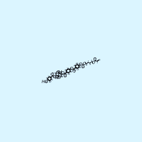 C=CC(=O)OCCCCOC(=O)Oc1ccc(C(=O)Oc2ccc(C(=O)OC3CO[C@@H]4[C@@H](OC(=O)c5ccc(O)cc5)CO[C@H]34)cc2)cc1